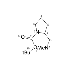 CNCC1CCCN1C(=O)OC(C)(C)C